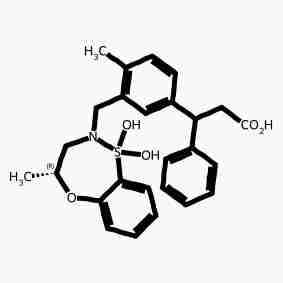 Cc1ccc(C(CC(=O)O)c2ccccc2)cc1CN1C[C@@H](C)Oc2ccccc2S1(O)O